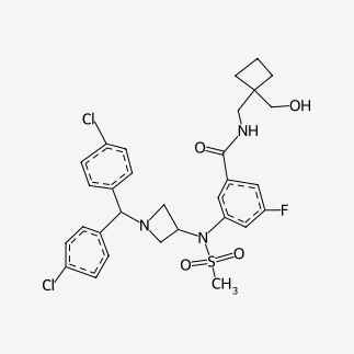 CS(=O)(=O)N(c1cc(F)cc(C(=O)NCC2(CO)CCC2)c1)C1CN(C(c2ccc(Cl)cc2)c2ccc(Cl)cc2)C1